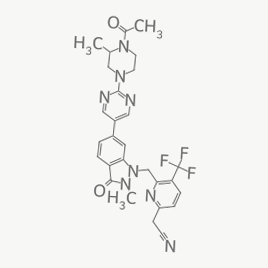 CC(=O)N1CCN(c2ncc(-c3ccc4c(=O)n(C)n(Cc5nc(CC#N)ccc5C(F)(F)F)c4c3)cn2)CC1C